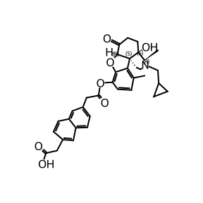 Cc1ccc(OC(=O)Cc2ccc3cc(CC(=O)O)ccc3c2)c2c1[C@]13CCN(CC4CC4)[C@H](C)[C@]1(O)CCC(=O)[C@@H]3O2